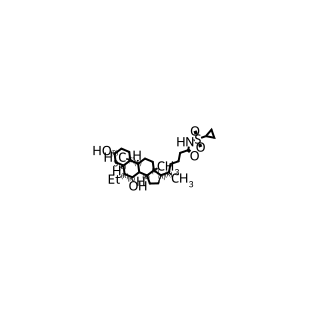 CC[C@H]1[C@@H](O)C2[C@@H]3CC[C@H]([C@H](C)CCCC(=O)NS(=O)(=O)C4CC4)[C@@]3(C)CC[C@@H]2[C@@]2(C)CC[C@@H](O)C[C@@H]12